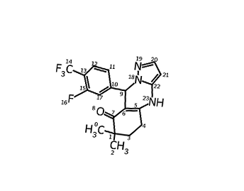 CC1(C)CCC2=C(C1=O)C(c1ccc(C(F)(F)F)c(F)c1)n1nccc1N2